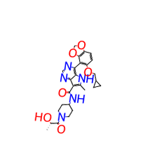 Cc1[nH]c2c(-c3c(OCC4CC4)ccc4c3OCO4)ncnc2c1C(=O)NC1CCN(C(=O)[C@H](C)O)CC1